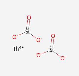 O=[Si]([O-])[O-].O=[Si]([O-])[O-].[Th+4]